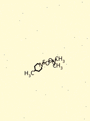 CC1CCN(SOON(C)C)CC1